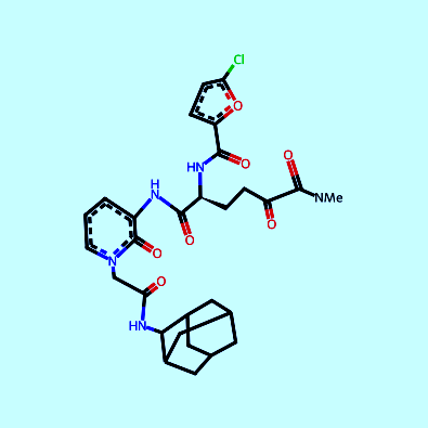 CNC(=O)C(=O)CC[C@H](NC(=O)c1ccc(Cl)o1)C(=O)Nc1cccn(CC(=O)NC2C3CC4CC(C3)CC2C4)c1=O